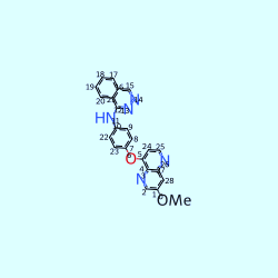 COc1cnc2c(Oc3ccc(Nc4nncc5ccccc45)cc3)ccnc2c1